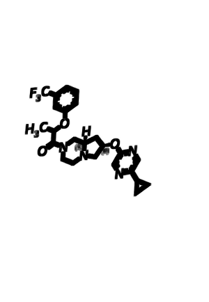 CC(Oc1cccc(C(F)(F)F)c1)C(=O)N1CCN2C[C@H](Oc3cnc(C4CC4)cn3)C[C@H]2C1